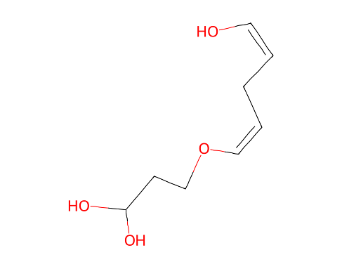 O/C=C\C/C=C\OCCC(O)O